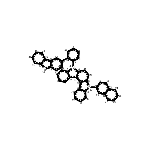 c1ccc(-n2c3ccccc3c3c4c5ccccc5n(-c5ccc6ccccc6c5)c4ccc32)c(-c2ccc3sc4ccccc4c3c2)c1